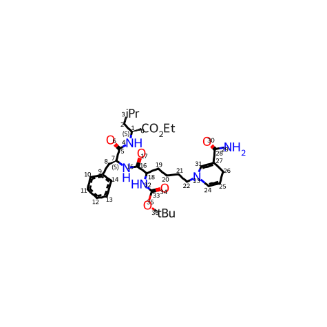 CCOC(=O)[C@H](CC(C)C)NC(=O)[C@H](Cc1ccccc1)NC(=O)C(CCCCN1C=CCC(C(N)=O)=C1)NC(=O)OC(C)(C)C